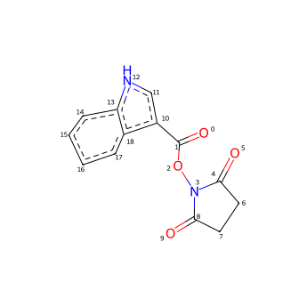 O=C(ON1C(=O)CCC1=O)c1c[nH]c2ccccc12